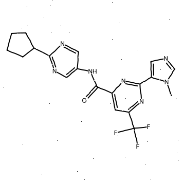 Cn1cncc1-c1nc(C(=O)Nc2cnc(C3CCCC3)nc2)cc(C(F)(F)F)n1